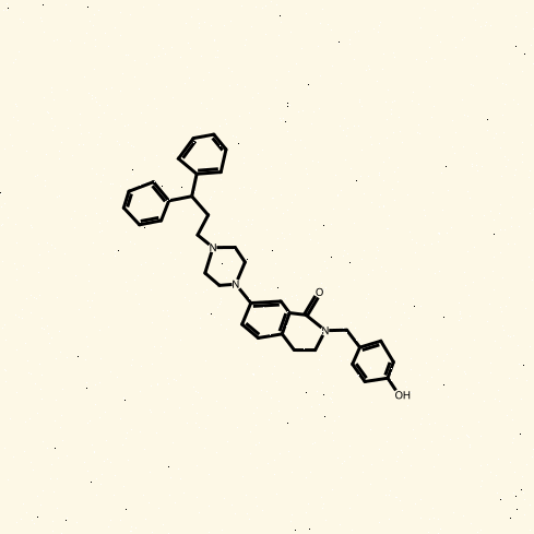 O=C1c2cc(N3CCN(CCC(c4ccccc4)c4ccccc4)CC3)ccc2CCN1Cc1ccc(O)cc1